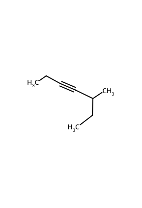 CCC#CC(C)CC